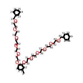 Cc1ccc(OCCOCCOCCOCCOCCOCc2ccccc2)c(OCCOCCOCCOCCOCCOCc2ccccc2)c1